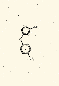 Nc1ncc(Oc2ccc(C(F)(F)F)cn2)s1